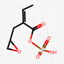 CC=C(CC1CO1)C(=O)OS(=O)(=O)O